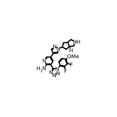 COc1ccc(-n2nnnc2-c2cc(-c3cnn(C4CC5CNC[C@H]5C4)c3)cnc2N)c(F)c1F